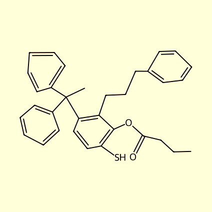 CCCC(=O)Oc1c(S)ccc(C(C)(c2ccccc2)c2ccccc2)c1CCCc1ccccc1